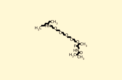 CCCCC(CC)NCCOCCOCCOCCOCCOC(C)C(F)CNC(=O)C(C)C